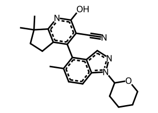 Cc1ccc2c(cnn2C2CCCCO2)c1-c1c(C#N)c(O)nc2c1CCC2(C)C